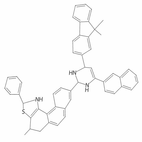 CC1Cc2ccc3cc(C4NC(c5ccc6ccccc6c5)=CC(c5ccc6c(c5)C(C)(C)c5ccccc5-6)N4)ccc3c2C2=C1SC(c1ccccc1)N2